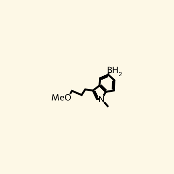 Bc1ccc2c(c1)c(CCCOC)cn2C